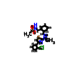 CCS(=O)(=O)NCc1ccccc1C=NN(C)c1nc(-c2ccccc2Cl)cs1